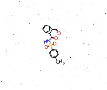 Cc1ccc(S(=O)(=O)NC(=O)C2C3C=CC(C3)C2C=O)cc1